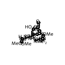 CN/C(N)=C/C=C(\N)Oc1ccnc2cc(OC)c(OC(Cc3ccc(-c4cn(CC5CCOCC5)cc(C(=O)N/C(N)=C/C=C(\N)Oc5ccnc6cc(OC)c(OC)cc56)c4=O)cc3)c3ccc(-c4cn(CC5CCOCC5)cc(C(=O)O)c4=O)cc3)cc12